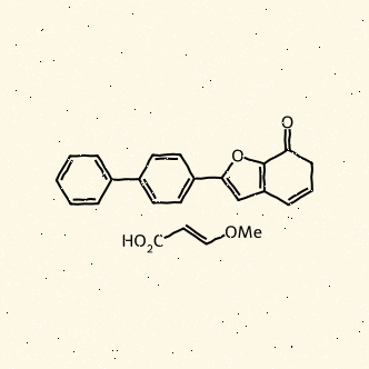 CO/C=C/C(=O)O.O=C1CC=Cc2cc(-c3ccc(-c4ccccc4)cc3)oc21